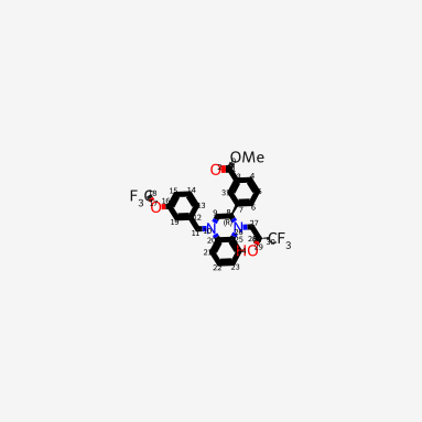 COC(=O)c1cccc([C@@H]2CN(Cc3cccc(OC(F)(F)F)c3)c3ccccc3N2C[C@@H](O)C(F)(F)F)c1